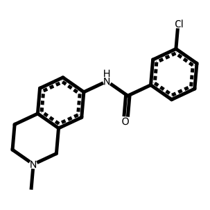 CN1CCc2ccc(NC(=O)c3cccc(Cl)c3)cc2C1